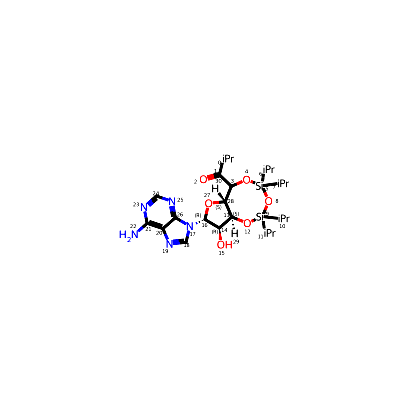 CC(C)C(=O)C1O[Si](C(C)C)(C(C)C)O[Si](C(C)C)(C(C)C)O[C@H]2[C@@H](O)[C@H](n3cnc4c(N)ncnc43)O[C@H]12